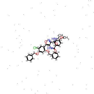 CCNC(=O)c1noc(-c2cc(Cl)c(OCc3ccccc3)cc2OCc2ccccc2)c1NC(=O)c1ccc(OC)cc1